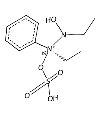 CCN(O)[N@@+](CC)(OS(=O)(=O)O)c1ccccc1